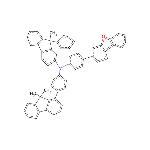 CC1(C)c2ccccc2-c2cccc(-c3ccc(N(c4ccc(-c5ccc6c(c5)oc5ccccc56)cc4)c4ccc5c(c4)C(C)(c4ccccc4)c4ccccc4-5)cc3)c21